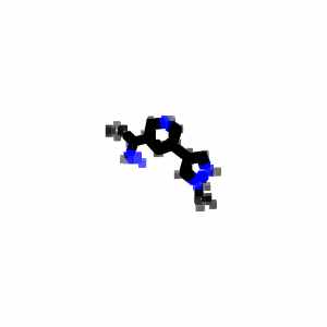 CC(N)c1cncc(-c2cnn(C)c2)c1